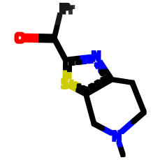 CC(C)C(=O)c1nc2c(s1)CN(C)CC2